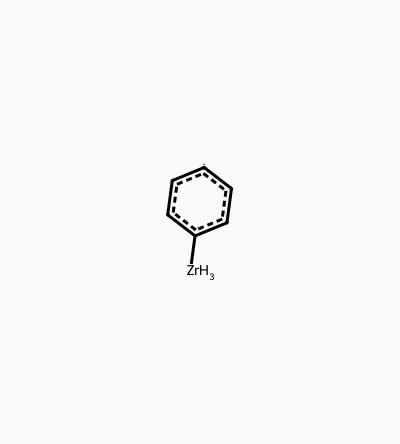 [ZrH3][c]1cc[c]cc1